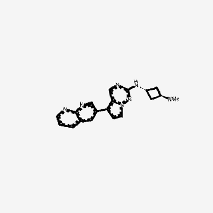 CN[C@H]1C[C@H](Nc2ncc3c(-c4cnc5ncccc5c4)ccn3n2)C1